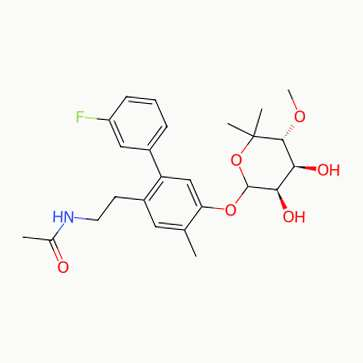 CO[C@@H]1[C@@H](O)[C@@H](O)C(Oc2cc(-c3cccc(F)c3)c(CCNC(C)=O)cc2C)OC1(C)C